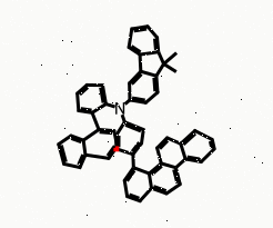 CC1(C)c2ccccc2-c2cc(N(c3ccc(-c4cccc5ccc6c7ccccc7ccc6c45)cc3)c3ccccc3-c3cccc4ccccc34)ccc21